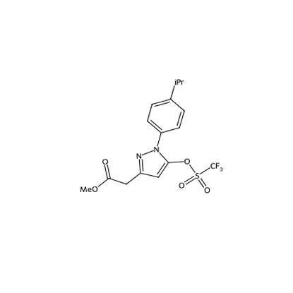 COC(=O)Cc1cc(OS(=O)(=O)C(F)(F)F)n(-c2ccc(C(C)C)cc2)n1